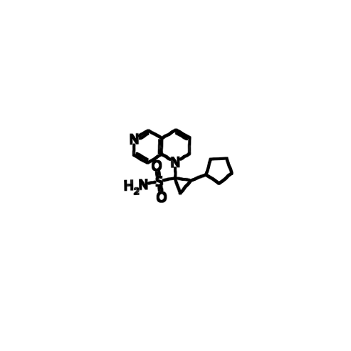 NS(=O)(=O)C1(N2CC=Cc3cnccc32)CC1C1CCCC1